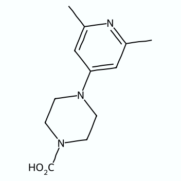 Cc1cc(N2CCN(C(=O)O)CC2)cc(C)n1